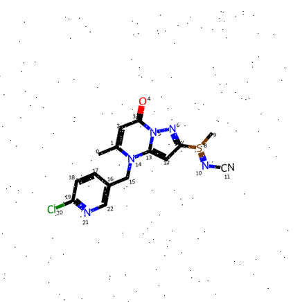 Cc1cc(=O)n2nc(/S(C)=N/C#N)cc2n1Cc1ccc(Cl)nc1